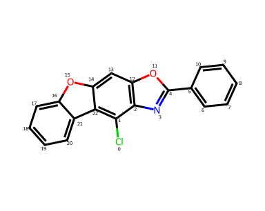 Clc1c2nc(-c3ccccc3)oc2cc2oc3ccccc3c12